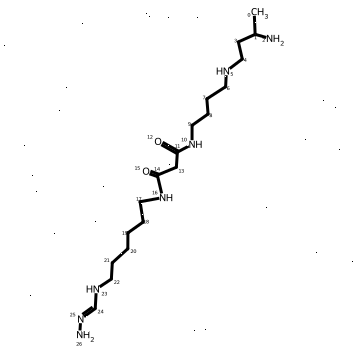 CC(N)CCNCCCCNC(=O)CC(=O)NCCCCCCNC=NN